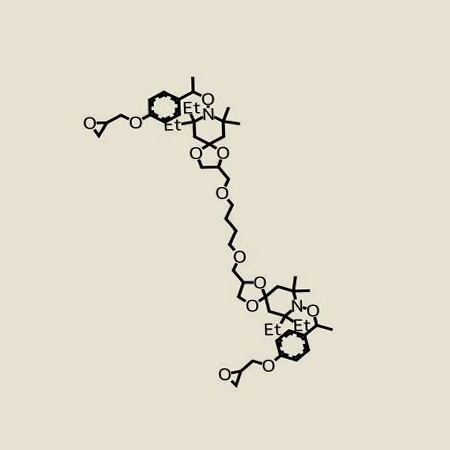 CCC1(CC)CC2(CC(C)(C)N1OC(C)c1ccc(OCC3CO3)cc1)OCC(COCCCCOCC1COC3(CC(C)(C)N(OC(C)c4ccc(OCC5CO5)cc4)C(CC)(CC)C3)O1)O2